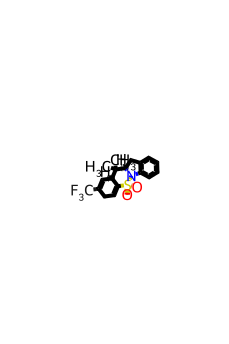 CC1(C)[C@@H]2C=C(C(F)(F)F)CC=C2S(=O)(=O)N2c3ccccc3C[C@@H]21